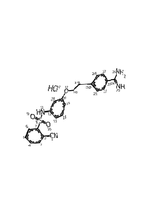 Cl.N#Cc1ccccc1S(=O)(=O)Nc1cccc(OCCc2ccc(C(=N)N)cc2)c1